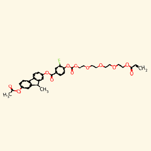 C=CC(=O)OCCOCCOCCOCCOC(=O)Oc1ccc(C(=O)Oc2ccc3c(c2)C(C)c2cc(OC(C)=O)ccc2-3)cc1F